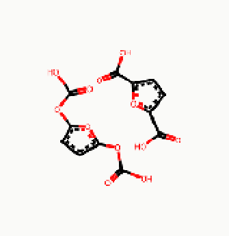 O=C(O)Oc1ccc(OC(=O)O)o1.O=C(O)c1ccc(C(=O)O)o1